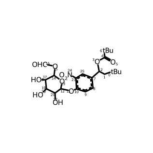 CC(C)(C)CC(OC(=O)C(C)(C)C)c1ccc(OC2OC(OC=O)C(O)C(O)C2O)c([N+](=O)[O-])c1